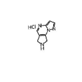 Cl.c1cc2ncc3c(n2n1)CNC3